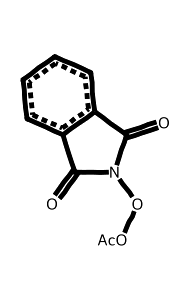 CC(=O)OON1C(=O)c2ccccc2C1=O